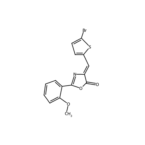 COc1ccccc1C1=N/C(=C\c2ccc(Br)s2)C(=O)O1